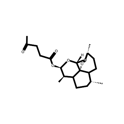 CC(=O)CCC(=O)O[C@H]1O[C@@H]2O[C@]3(C)CCC4[C@H](C)CCC([C@H]1C)[C@]42OO3